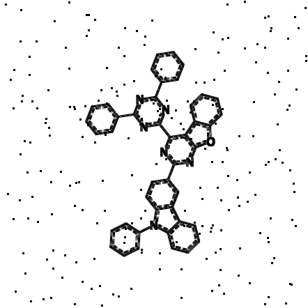 c1ccc(-c2nc(-c3ccccc3)nc(-c3nc(-c4ccc5c(c4)c4ccccc4n5-c4ccccc4)nc4oc5ccccc5c34)n2)cc1